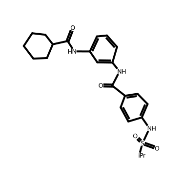 CC(C)S(=O)(=O)Nc1ccc(C(=O)Nc2cccc(NC(=O)C3CCCCC3)c2)cc1